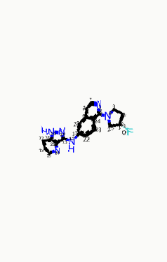 F[C@H]1CCN(c2nccc3cc(Nc4n[nH]c5cccnc45)ccc23)C1